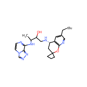 CC(Nc1nccn2cnnc12)C(O)CN[C@H]1CC2(CCC2)Oc2ncc(CC(C)(C)C)cc21